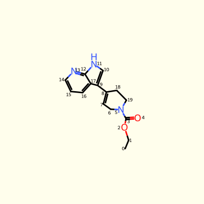 CCOC(=O)N1CC=C(c2c[nH]c3ncccc23)CC1